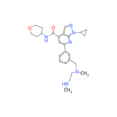 CNCCN(C)Cc1cccc(-c2cc(C(=O)NC3CCOCC3)c3cnn(C4CC4)c3n2)c1